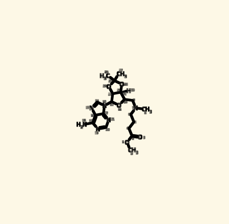 COC(=O)CCCN(C)CC1OC(n2cnc3c(N)ncnc32)C2OC(C)(C)O[C@H]12